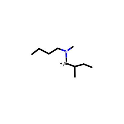 CCCCN(C)[SiH2]C(C)CC